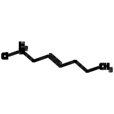 CCCC=CC[SiH2]Cl